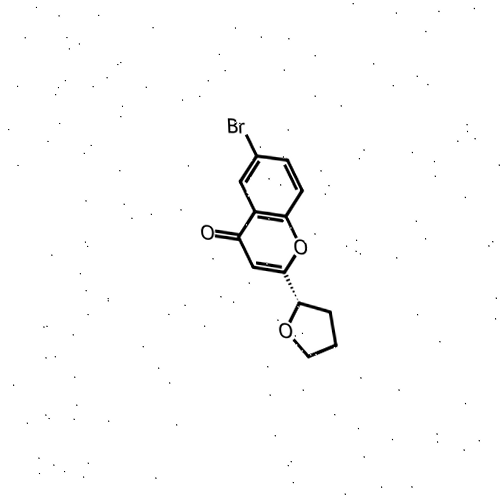 O=c1cc([C@@H]2CCCO2)oc2ccc(Br)cc12